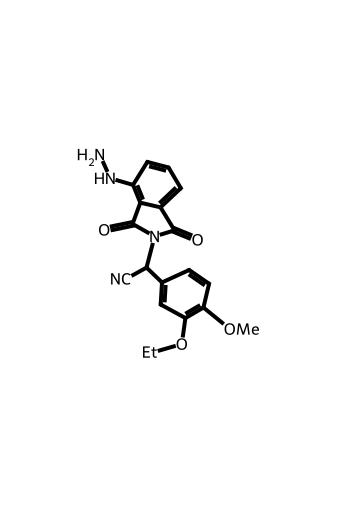 CCOc1cc(C(C#N)N2C(=O)c3cccc(NN)c3C2=O)ccc1OC